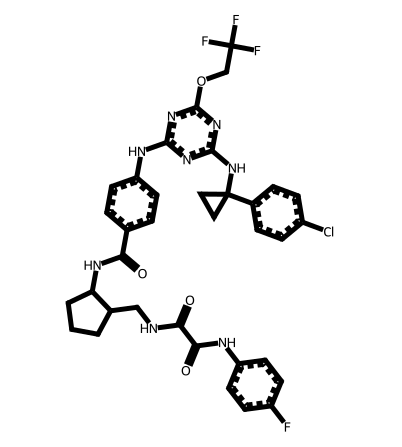 O=C(NCC1CCCC1NC(=O)c1ccc(Nc2nc(NC3(c4ccc(Cl)cc4)CC3)nc(OCC(F)(F)F)n2)cc1)C(=O)Nc1ccc(F)cc1